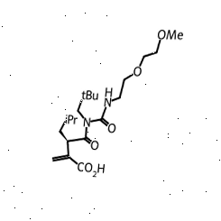 C=C(C(=O)O)[C@@H](CC(C)C)C(=O)N(CC(C)(C)C)C(=O)NCCOCCOC